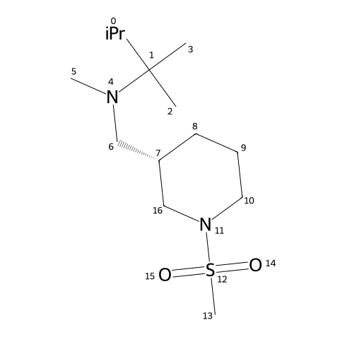 CC(C)C(C)(C)N(C)C[C@@H]1CCCN(S(C)(=O)=O)C1